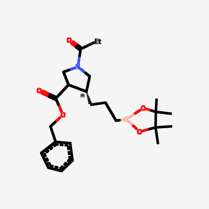 CCC(=O)N1CC(C(=O)OCc2ccccc2)[C@@H](CCCB2OC(C)(C)C(C)(C)O2)C1